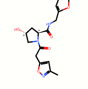 Cc1cc(CC(=O)N2C[C@H](O)C[C@H]2C(=O)NCc2ccc(C)o2)on1